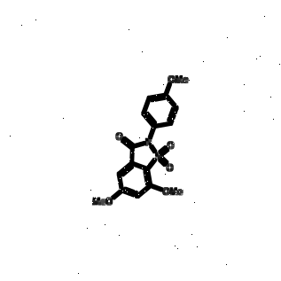 COc1ccc(N2C(=O)c3cc(OC)cc(OC)c3S2(=O)=O)cc1